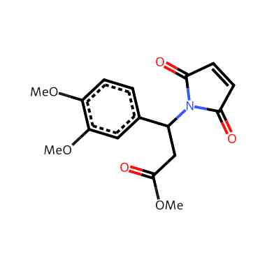 COC(=O)CC(c1ccc(OC)c(OC)c1)N1C(=O)C=CC1=O